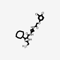 CCC1NC(C(=O)NC23CC(NC(=O)COc4ccc(Cl)c(Cl)c4)(C2)C3)C(C2CCCCCCCC2)S1